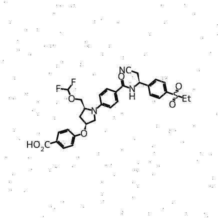 CCS(=O)(=O)c1ccc([C@H](CC#N)NC(=O)c2ccc(N3C[C@@H](Oc4ccc(C(=O)O)cc4)C[C@H]3COC(F)F)cc2)cc1